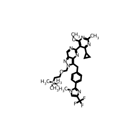 COc1nc(C)nc(C2CC2)c1-c1ncc2nn(COCC[Si](C)(C)C)c(Cc3ccc(-c4nc(C(F)(F)F)cn4C)cc3)c2n1